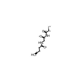 C#CCCC(=O)NCC(=O)NC(=O)CI